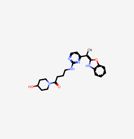 N#CC(=C1Nc2ccccc2O1)c1ccnc(NCCCC(=O)N2CCC(O)CC2)n1